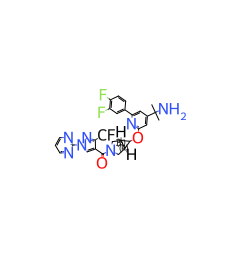 CC(C)(N)c1cc(OC2[C@H]3CN(C(=O)c4cn(-c5ncccn5)nc4C(F)(F)F)C[C@@H]23)nc(-c2ccc(F)c(F)c2)c1